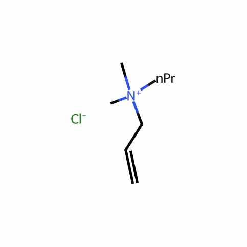 C=CC[N+](C)(C)CCC.[Cl-]